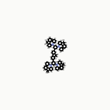 CC1(C)c2cc(-c3cc(N(c4ccccc4)c4cccc5c4-c4ccccc4C5(C)C)cc(N(c4ccccc4)c4cccc5c4-c4ccccc4C5(C)C)c3)ccc2-c2ccc(-c3cc(N(c4ccccc4)c4cccc5c4-c4ccccc4C5(C)C)cc(N(c4ccccc4)c4cccc5c4-c4ccccc4C5(C)C)c3)cc21